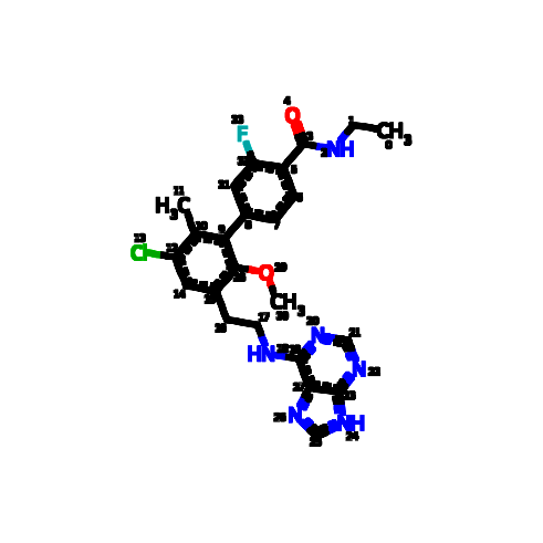 CCNC(=O)c1ccc(-c2c(C)c(Cl)cc(CCNc3ncnc4[nH]cnc34)c2OC)cc1F